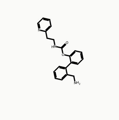 NCc1ccccc1-c1ccccc1OC(=O)NCCc1ccccn1